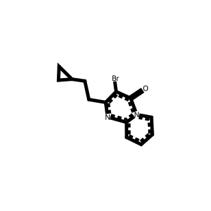 O=c1c(Br)c(CCC2CC2)nc2ccccn12